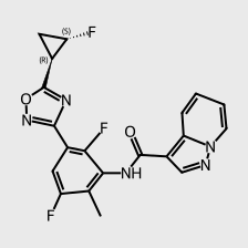 Cc1c(F)cc(-c2noc([C@H]3C[C@@H]3F)n2)c(F)c1NC(=O)c1cnn2ccccc12